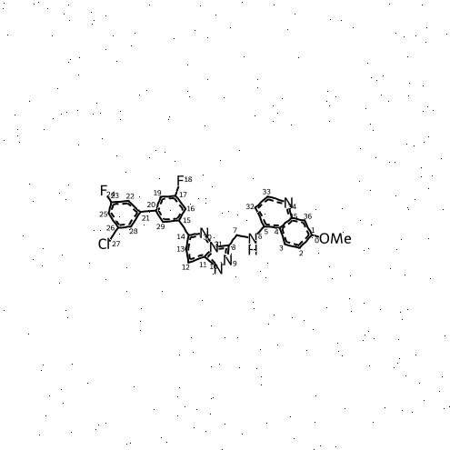 COc1ccc2c(NCc3nnc4ccc(-c5cc(F)cc(-c6cc(F)cc(Cl)c6)c5)nn34)ccnc2c1